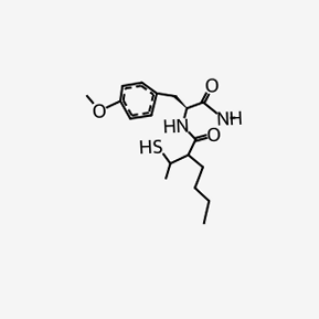 CCCCC(C(=O)N[C@@H](Cc1ccc(OC)cc1)C(=O)NC)C(C)S